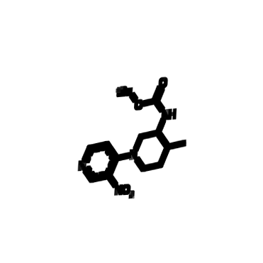 CC1CCN(c2ccncc2[N+](=O)[O-])CC1NC(=O)OC(C)(C)C